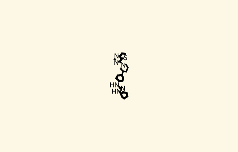 c1ccc2[nH]c(Nc3ccc(C4CCCN(c5ncnc6ccsc56)C4)cc3)nc2c1